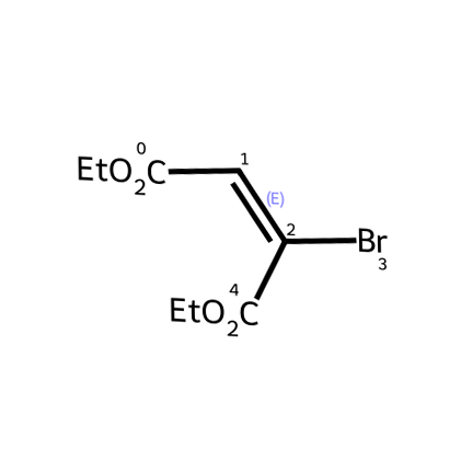 CCOC(=O)/C=C(/Br)C(=O)OCC